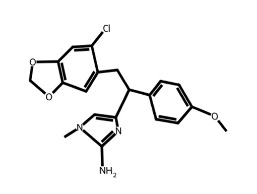 COc1ccc(C(Cc2cc3c(cc2Cl)OCO3)c2cn(C)c(N)n2)cc1